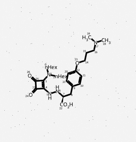 CCCCCCN(CCCCCC)c1c(NN[C@@H](Cc2ccc(OCCCN(C)C)cc2)C(=O)O)c(=O)c1=O